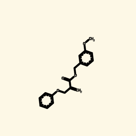 C=C(COc1ccccc1)C(=O)OCc1cccc(OC)c1